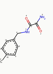 NC(=O)C(=O)NCc1ccc(C(F)(F)F)cc1